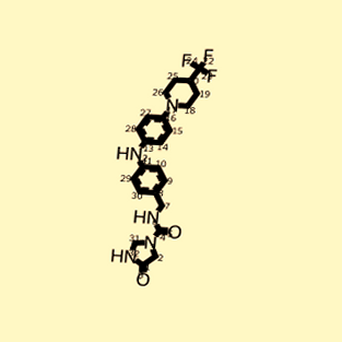 O=C1CN(C(=O)NCc2ccc(Nc3ccc(N4CCC(C(F)(F)F)CC4)cc3)cc2)CN1